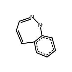 C1=Cc2ccccc2[N]N=C1